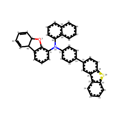 C1=CC2Oc3c(cccc3N(c3ccc(-c4ccc5sc6ccccc6c5c4)cc3)c3cccc4ccccc34)C2C=C1